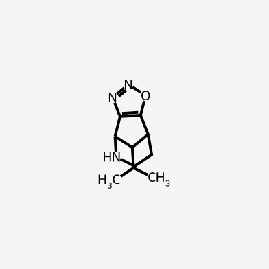 CC(C)C1C2CCNC1c1nnoc12